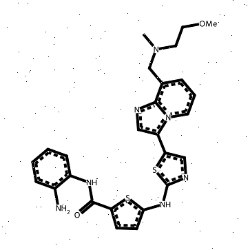 COCCN(C)Cc1cccn2c(-c3cnc(Nc4ccc(C(=O)Nc5ccccc5N)s4)s3)cnc12